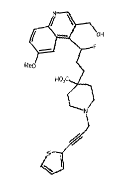 COc1ccc2ncc(CO)c(C(F)CCC3(C(=O)O)CCN(CC#Cc4cccs4)CC3)c2c1